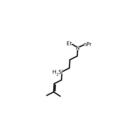 CCCN(CC)CCC[SiH2]CC=C(C)C